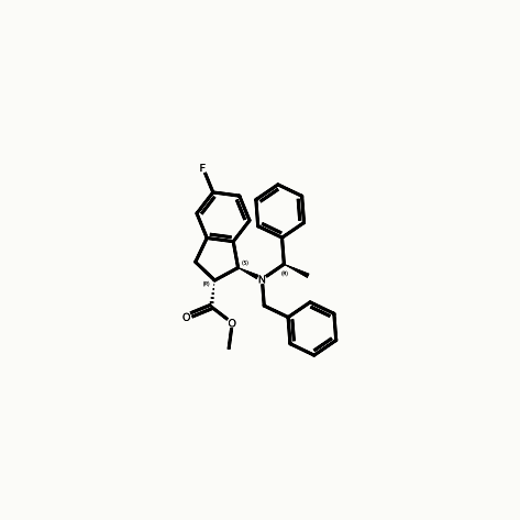 COC(=O)[C@@H]1Cc2cc(F)ccc2[C@H]1N(Cc1ccccc1)[C@H](C)c1ccccc1